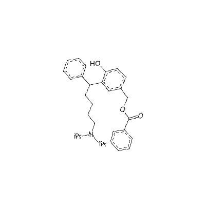 CC(C)N(CCCCC(c1ccccc1)c1cc(COC(=O)c2ccccc2)ccc1O)C(C)C